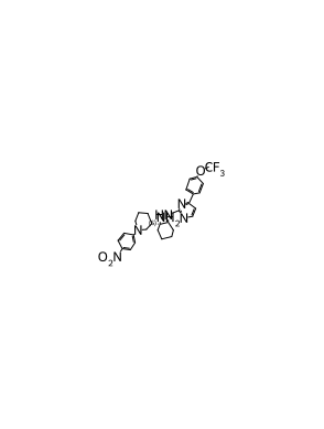 NC1([C@H]2CCCN(c3ccc([N+](=O)[O-])cc3)C2)CCCCC1Nc1nccc(-c2ccc(OC(F)(F)F)cc2)n1